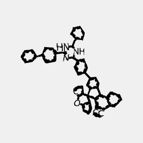 c1ccc(-c2ccc(C3=NC(c4ccc(-c5ccc6c(c5)C5(c7ccccc7Oc7ccccc75)c5c-6c6ccccc6c6ccccc56)cc4)NC(c4ccccc4)N3)cc2)cc1